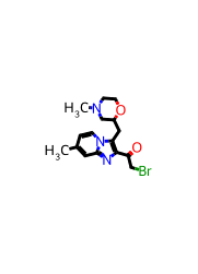 Cc1ccn2c(CC3CN(C)CCO3)c(C(=O)CBr)nc2c1